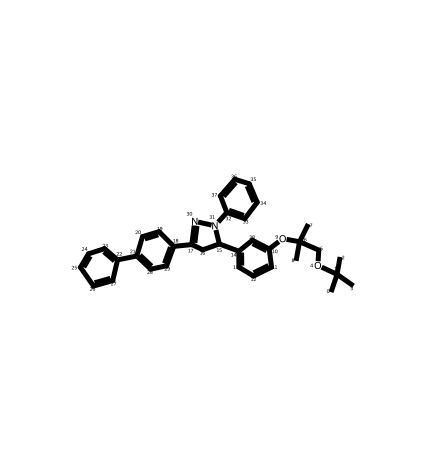 CC(C)(C)OCC(C)(C)Oc1cccc(C2CC(c3ccc(-c4ccccc4)cc3)=NN2c2ccccc2)c1